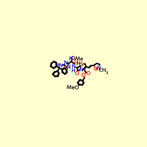 CO/N=C(\C(=O)N[C@@H]1C(=O)N2C(C(=O)OCc3ccc(OC)cc3)=C(/C=C/C3CCN(C)O3)CS[C@@H]12)c1nsc(NC(c2ccccc2)(c2ccccc2)c2ccccc2)n1